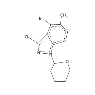 Cc1ccc2c(c(Cl)nn2C2CCCCO2)c1Br